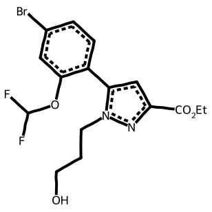 CCOC(=O)c1cc(-c2ccc(Br)cc2OC(F)F)n(CCCO)n1